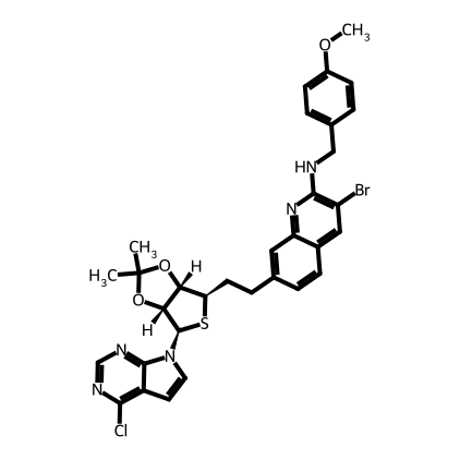 COc1ccc(CNc2nc3cc(CC[C@H]4S[C@@H](n5ccc6c(Cl)ncnc65)[C@@H]5OC(C)(C)O[C@@H]54)ccc3cc2Br)cc1